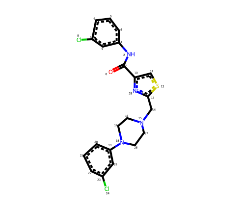 O=C(Nc1cccc(Cl)c1)c1csc(CN2CCN(c3cccc(Cl)c3)CC2)n1